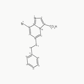 O=C(O)c1cnc2c(Br)cc(SCc3ccccc3)cn12